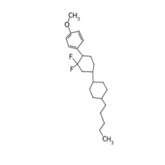 CCCCCC1CCC(C2CCC(c3ccc(OC)cc3)C(F)(F)C2)CC1